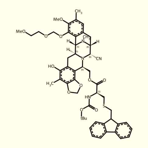 COCCOCOc1c(OC)c(C)cc2c1[C@H]1[C@@H]3Cc4c(O)c(C)c5c(c4[C@H](COC(=O)[C@@H](CSCC4c6ccccc6-c6ccccc64)NC(=O)OC(C)(C)C)N3[C@@H](C#N)[C@@H](C2)N1C)OCO5